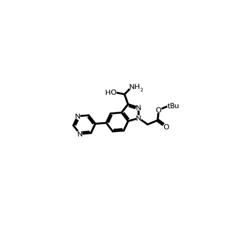 CC(C)(C)OC(=O)Cn1nc(C(N)O)c2cc(-c3cncnc3)ccc21